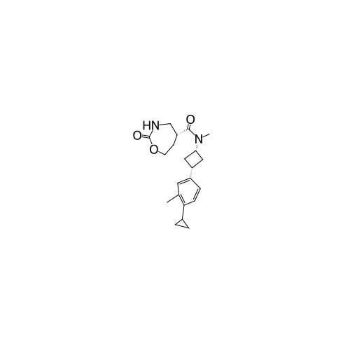 Cc1cc([C@H]2C[C@@H](N(C)C(=O)[C@@H]3CCOC(=O)NC3)C2)ccc1C1CC1